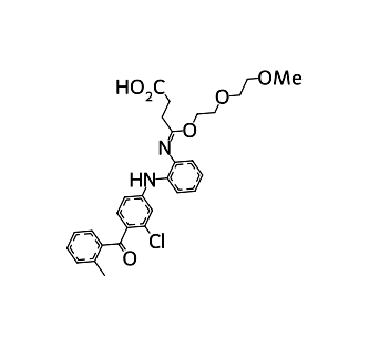 COCCOCCOC(CCC(=O)O)=Nc1ccccc1Nc1ccc(C(=O)c2ccccc2C)c(Cl)c1